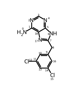 Nc1ncnc2[nH]c(Cc3cc(Cl)cc(Cl)c3)nc12